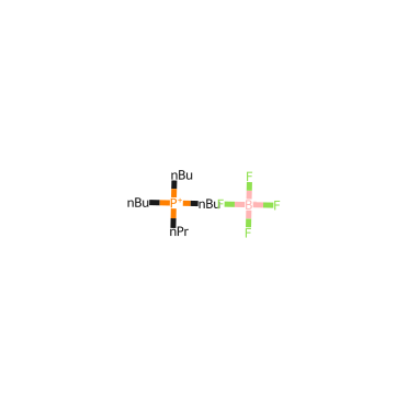 CCCC[P+](CCC)(CCCC)CCCC.F[B-](F)(F)F